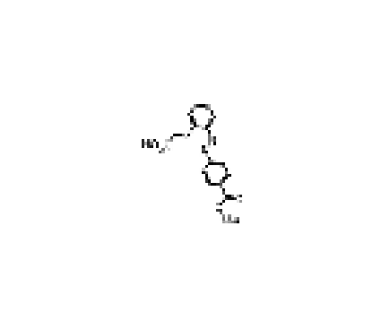 CC(C)(C)OC(=O)c1ccc(/N=N/c2ccccc2CCC(=O)O)cc1